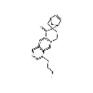 CCCCc1cccc2cc3c(cc12)CCC1(CC2C=CC1C2)C3=O